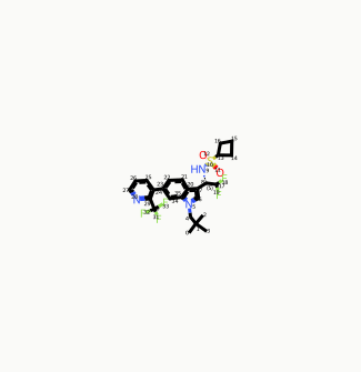 CC(C)(C)Cn1cc([C@H](NS(=O)(=O)C2CCC2)C(F)F)c2ccc(-c3cccnc3C(F)(F)F)cc21